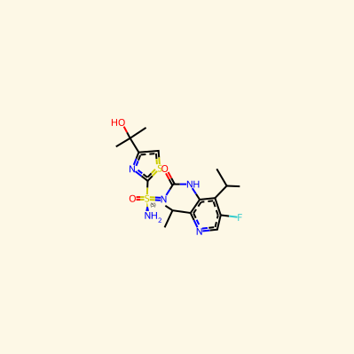 CC(C)c1ncc(F)c(C(C)C)c1NC(=O)N=[S@](N)(=O)c1nc(C(C)(C)O)cs1